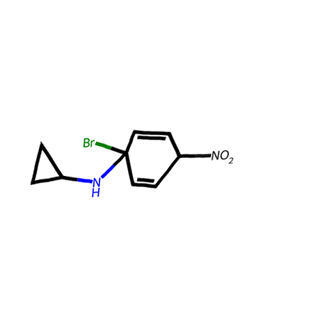 O=[N+]([O-])C1C=CC(Br)(NC2CC2)C=C1